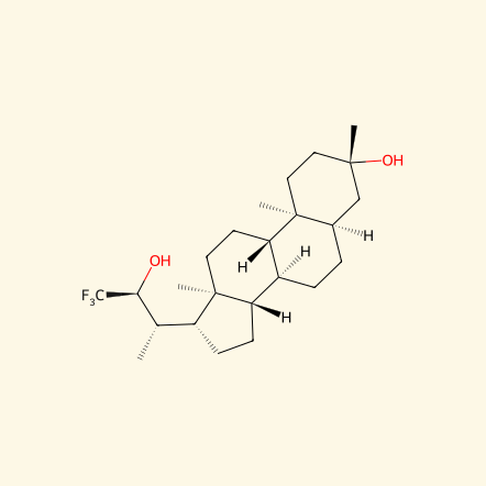 C[C@@H]([C@H]1CC[C@H]2[C@@H]3CC[C@@H]4C[C@@](C)(O)CC[C@]4(C)[C@H]3CC[C@]12C)[C@H](O)C(F)(F)F